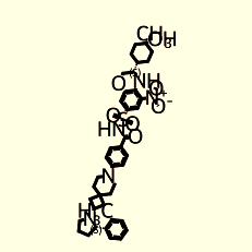 Cc1ccccc1[C@@H]1CCCN1C1CC2(CCN(c3ccc(C(=O)NS(=O)(=O)c4cc5c(c([N+](=O)[O-])c4)N[C@@H](C4CCC(C)(O)CC4)CO5)cc3)CC2)C1